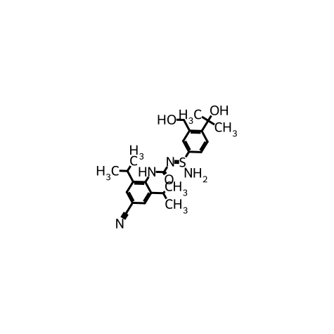 CC(C)c1cc(C#N)cc(C(C)C)c1NC(=O)/N=S(\N)c1ccc(C(C)(C)O)c(CO)c1